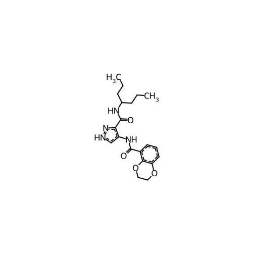 CCCC(CCC)NC(=O)c1n[nH]cc1NC(=O)c1cccc2c1OCCO2